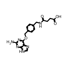 Nc1nc(OCc2ccc(CNC(=O)CCC(=O)O)cc2)c2nc[nH]c2n1